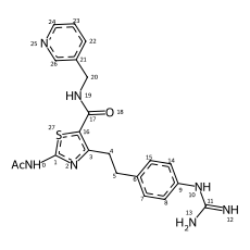 CC(=O)Nc1nc(CCc2ccc(NC(=N)N)cc2)c(C(=O)NCc2cccnc2)s1